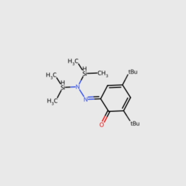 C[SiH](C)N(N=C1C=C(C(C)(C)C)C=C(C(C)(C)C)C1=O)[SiH](C)C